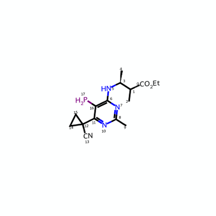 CCOC(=O)C(C)[C@H](C)Nc1nc(C)nc(C2(C#N)CC2)c1P